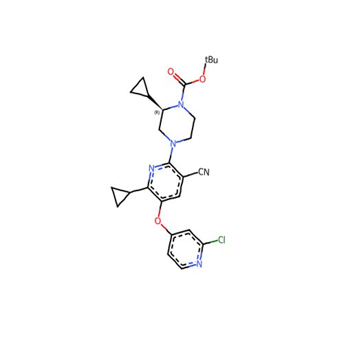 CC(C)(C)OC(=O)N1CCN(c2nc(C3CC3)c(Oc3ccnc(Cl)c3)cc2C#N)C[C@H]1C1CC1